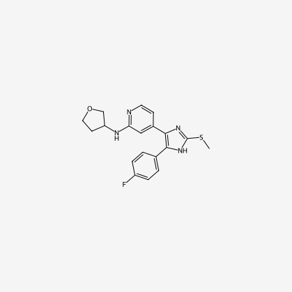 CSc1nc(-c2ccnc(NC3CCOC3)c2)c(-c2ccc(F)cc2)[nH]1